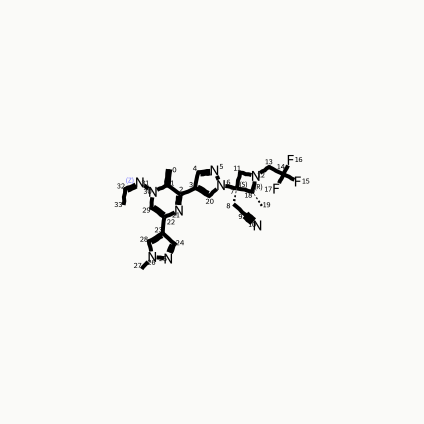 C=C1C(c2cnn([C@@]3(CC#N)CN(CC(F)(F)F)[C@@H]3C)c2)=NC(c2cnn(C)c2)=CN1/N=C\C